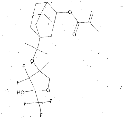 C=C(C)C(=O)OC1C2CC3CC1CC(C(C)(C)OC1(C)COC(O)(C(F)(F)F)C1(F)F)(C3)C2